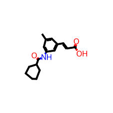 Cc1cc(C=CC(=O)O)cc(NC(=O)C2CCCCC2)c1